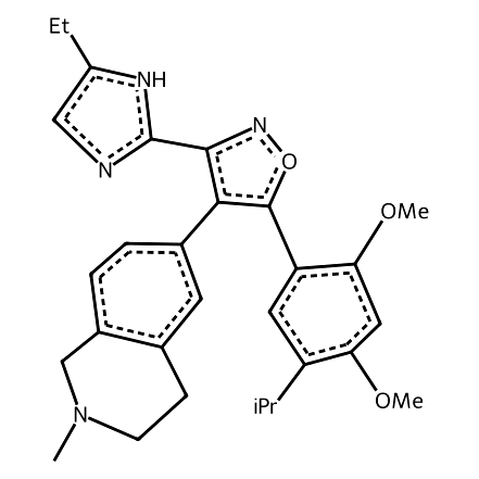 CCc1cnc(-c2noc(-c3cc(C(C)C)c(OC)cc3OC)c2-c2ccc3c(c2)CCN(C)C3)[nH]1